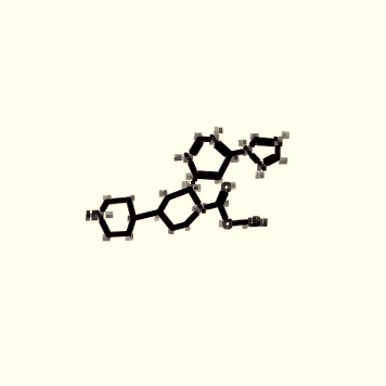 CC(C)(C)OC(=O)N1CCC(C2CCNCC2)C[C@@H]1c1cc(-n2cncn2)ncn1